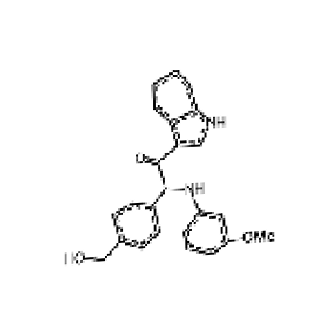 COc1cccc(NC(C(=O)c2c[nH]c3ccccc23)c2ccc(CO)cc2)c1